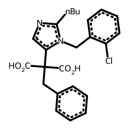 CCCCc1ncc(C(Cc2ccccc2)(C(=O)O)C(=O)O)n1Cc1ccccc1Cl